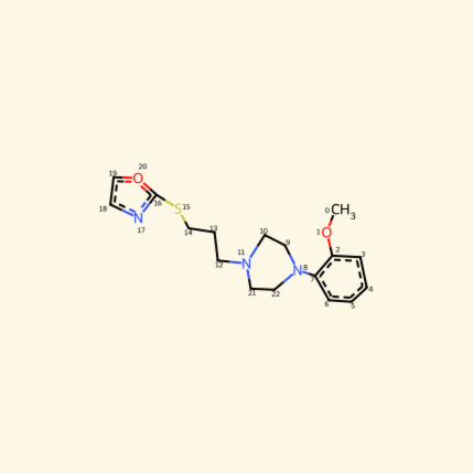 COc1ccccc1N1CCN(CCCSc2ncco2)CC1